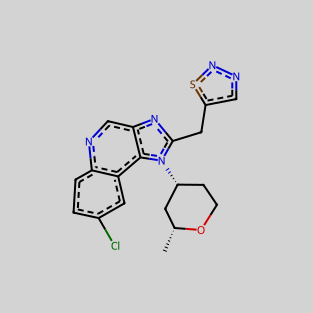 C[C@@H]1C[C@H](n2c(Cc3cnns3)nc3cnc4ccc(Cl)cc4c32)CCO1